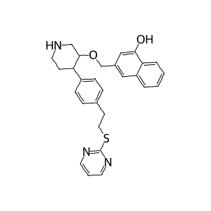 Oc1cc(COC2CNCCC2c2ccc(CCSc3ncccn3)cc2)cc2ccccc12